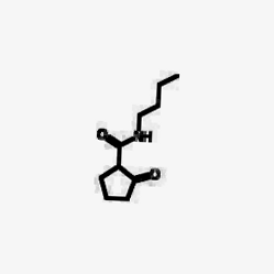 CCCCNC(=O)C1CCCC1=O